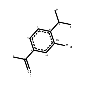 CC(=O)c1ccc(C(C)C)c(F)c1